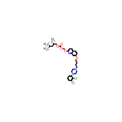 CC(C)CC(C)COC(=O)OCOc1ccc2ccc(OCCCCN3CCN(c4cccc(Cl)c4Cl)CC3)cc2n1